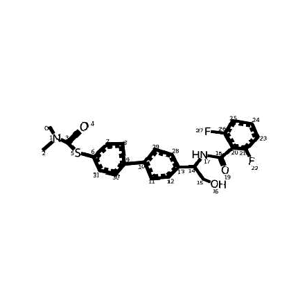 CN(C)C(=O)Sc1ccc(-c2ccc(C(CO)NC(=O)c3c(F)cccc3F)cc2)cc1